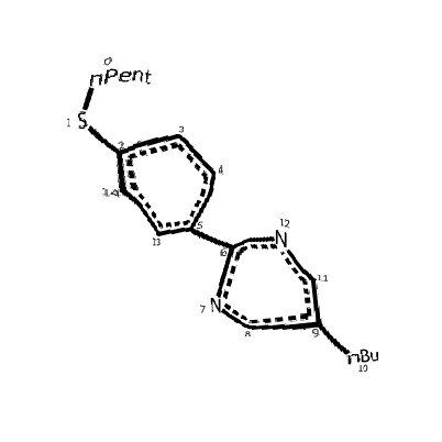 CCCCCSc1ccc(-c2ncc(CCCC)cn2)cc1